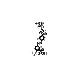 Cc1ccc(N=Nc2ccc(S(=O)(=O)CCOS(=O)(=O)O)cc2)cc1S(=O)(=O)O